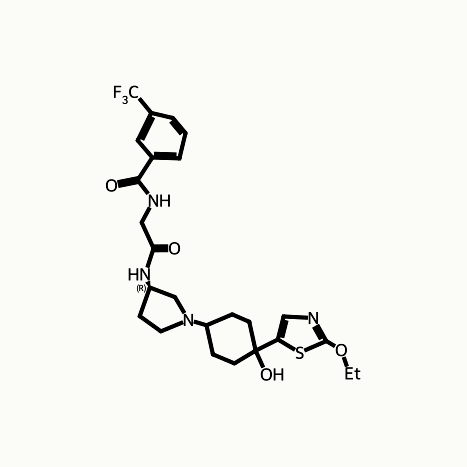 CCOc1ncc(C2(O)CCC(N3CC[C@@H](NC(=O)CNC(=O)c4cccc(C(F)(F)F)c4)C3)CC2)s1